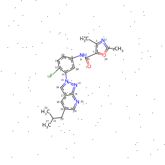 Cc1nc(C)c(C(=O)Nc2ccc(F)c(-n3cc4cc(CC(C)C)cnc4n3)c2)o1